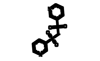 O=S(=O)([CH]S(=O)(=O)c1cccnc1)c1cccnc1